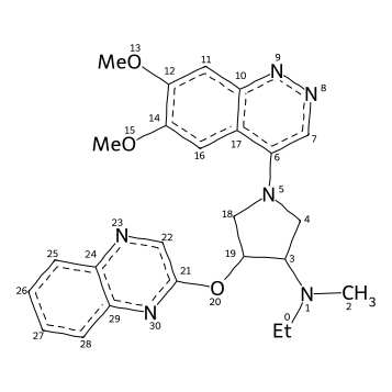 CCN(C)C1CN(c2cnnc3cc(OC)c(OC)cc23)CC1Oc1cnc2ccccc2n1